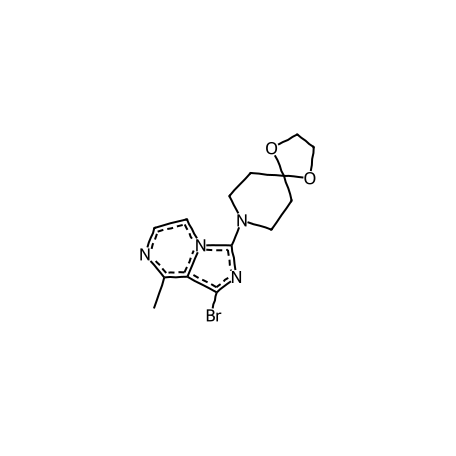 Cc1nccn2c(N3CCC4(CC3)OCCO4)nc(Br)c12